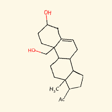 CC(=O)C1CCC2C3CC=C4CC(O)CCC4(CO)C3CCC12C